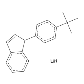 CC(C)(C)c1ccc(C2C=Cc3ccccc32)cc1.[LiH]